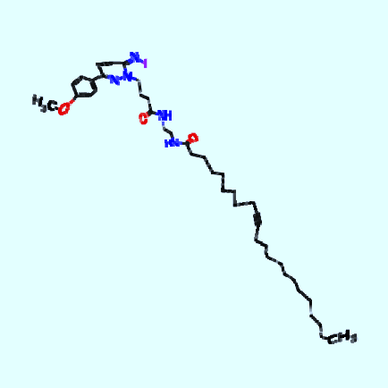 CCCCCCCCCCCCC#CCCCCCCCCC(=O)NCCNC(=O)CCCn1nc(-c2ccc(OC)cc2)ccc1=NI